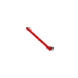 CCCCCCCCCCCCCCCCCCCCCCCCCCCCCCCC/C=C/CCCCCCCCCCCC(=O)OCC(CO)(CO)CO